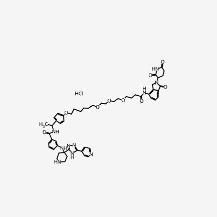 CC(NC(=O)c1cccc(NC2(c3nnc(-c4ccncc4)[nH]3)CCNCC2)c1)c1ccc(OCCCCCCOCCOCCOCCCC(=O)Nc2cccc3c2CN(C2CCC(=O)NC2=O)C3=O)cc1.Cl